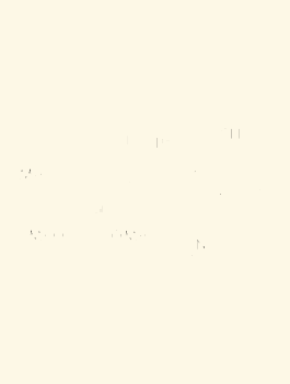 CCC(CC(C)(Br)C(N)=O)[Si](OC)(OC)OC